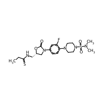 CCC(=S)NC[C@H]1CN(c2ccc(N3CCN(S(=O)(=O)N(C)C)CC3)c(F)c2)C(=O)O1